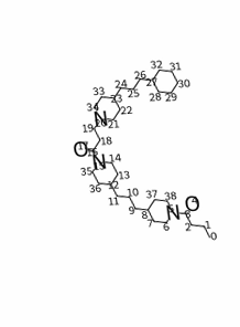 CCCC(=O)N1CCC(CCCC2CCN(C(=O)CCN3CCC(CCCC4CCCCC4)CC3)CC2)CC1